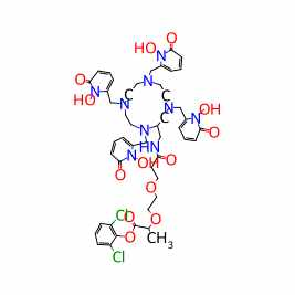 CC(OCCOCCC(=O)NCC1CN(Cc2cccc(=O)n2O)CCN(Cc2cccc(=O)n2O)CCN(Cc2cccc(=O)n2O)CCN1Cc1cccc(=O)n1O)C(=O)Oc1c(Cl)cccc1Cl